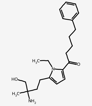 CCn1c(CCC(C)(N)CO)ccc1C(=O)CCCCc1ccccc1